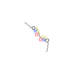 CCCCCCc1ccc2sc(SC(=O)CCC(=O)Sc3nc4cc(CCCCCC)ccc4s3)nc2c1